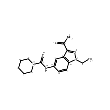 CCn1nc(C(N)=O)c2cc(NC(=O)N3CCCCC3)ccc21